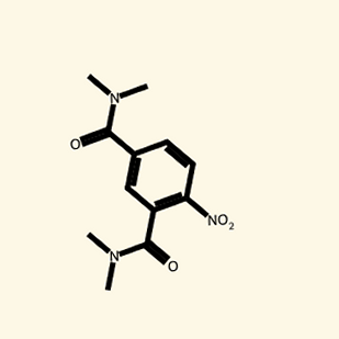 CN(C)C(=O)c1ccc([N+](=O)[O-])c(C(=O)N(C)C)c1